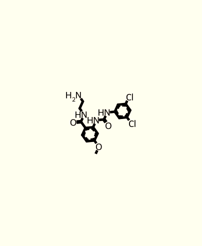 COc1ccc(C(=O)NCCN)c(NC(=O)Nc2cc(Cl)cc(Cl)c2)c1